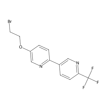 FC(F)(F)c1ccc(-c2ccc(OCCBr)cn2)cn1